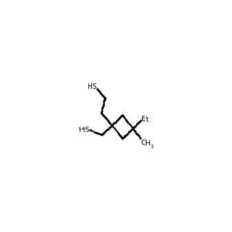 CCC1(C)CC(CS)(CCS)C1